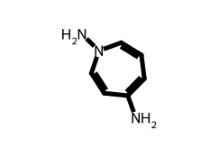 NC1=CC=CN(N)C=C1